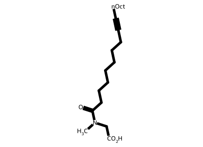 CCCCCCCCC#CCCCCCCCC(=O)N(C)CC(=O)O